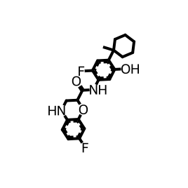 CC1(c2cc(F)c(NC(=O)C3CNc4ccc(F)cc4O3)cc2O)CCCCC1